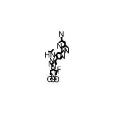 CC(C)Nc1cc(-n2ncc3cc(C#N)cnc32)ncc1-c1cn([C@H]2CCN(S(C)(=O)=O)C[C@H]2F)nn1